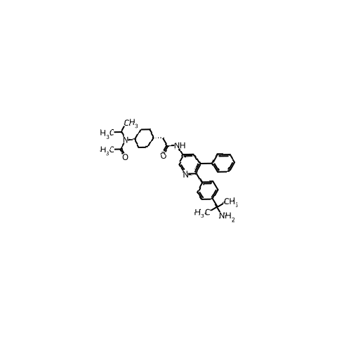 CC(=O)N(C(C)C)[C@H]1CC[C@H](CC(=O)Nc2cnc(-c3ccc(C(C)(C)N)cc3)c(-c3ccccc3)c2)CC1